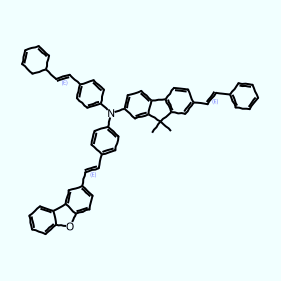 CC1(C)c2cc(/C=C/c3ccccc3)ccc2-c2ccc(N(c3ccc(/C=C/c4ccc5oc6ccccc6c5c4)cc3)c3ccc(/C=C/C4C=CC=CC4)cc3)cc21